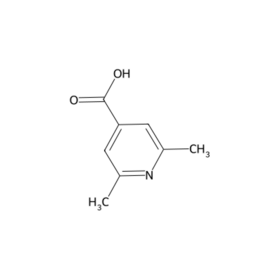 Cc1cc(C(=O)O)cc(C)n1